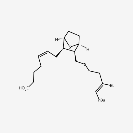 CCCCC=C(CC)CCSC[C@H]1[C@@H](C/C=C\CCCC(=O)O)[C@H]2CC[C@@H]1S2